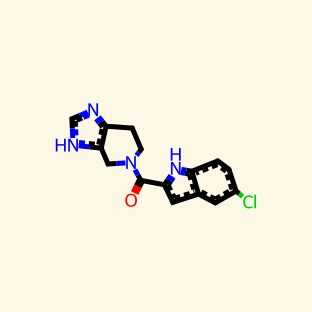 O=C(c1cc2cc(Cl)ccc2[nH]1)N1CCc2nc[nH]c2C1